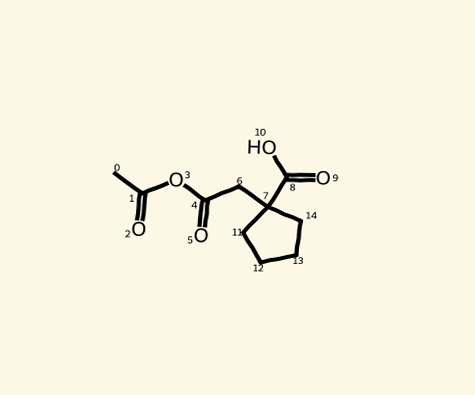 CC(=O)OC(=O)CC1(C(=O)O)CCCC1